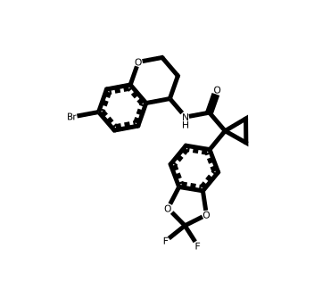 O=C(NC1CCOc2cc(Br)ccc21)C1(c2ccc3c(c2)OC(F)(F)O3)CC1